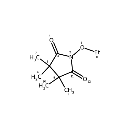 CCON1C(=O)C(C)(C)C(C)(C)C1=O